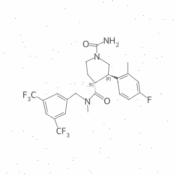 Cc1cc(F)ccc1[C@@H]1CN(C(N)=O)CC[C@H]1C(=O)N(C)Cc1cc(C(F)(F)F)cc(C(F)(F)F)c1